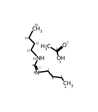 CC(=O)O.CCCC/N=C\NCCCC